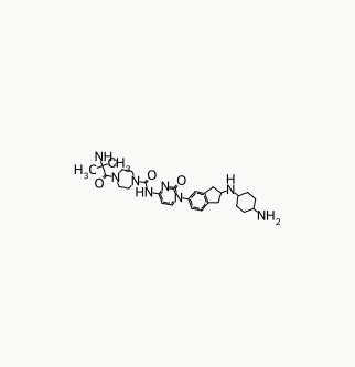 CC(C)(N)C(=O)N1CCN(C(=O)Nc2ccn(-c3ccc4c(c3)CC(NC3CCC(N)CC3)C4)c(=O)n2)CC1